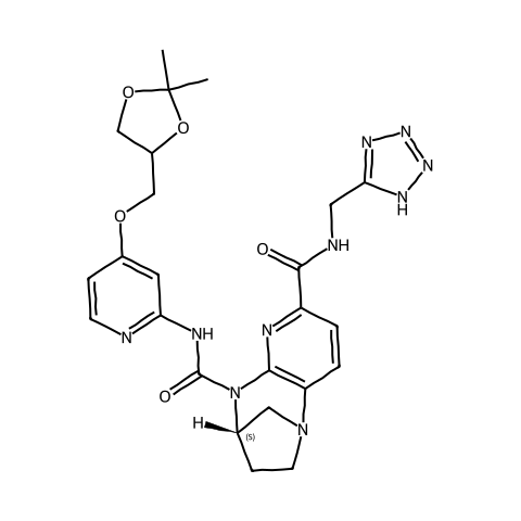 CC1(C)OCC(COc2ccnc(NC(=O)N3c4nc(C(=O)NCc5nnn[nH]5)ccc4N4CC[C@H]3C4)c2)O1